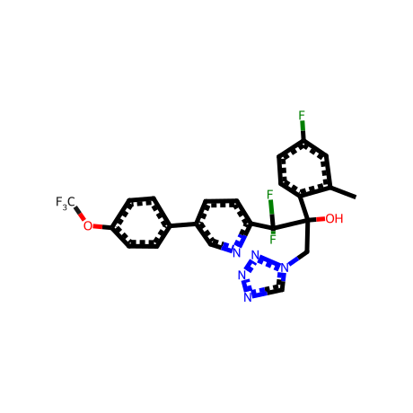 Cc1cc(F)ccc1C(O)(Cn1cnnn1)C(F)(F)c1ccc(-c2ccc(OC(F)(F)F)cc2)cn1